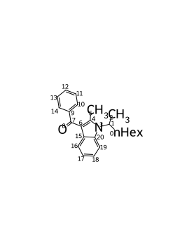 CCCCCCC(C)n1c(C)c(C(=O)c2ccccc2)c2ccccc21